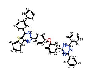 c1ccc(-c2cccc(-c3nc(-c4ccc(Oc5cccc(-c6nc(-c7ccccc7)nc(-c7ccccc7)n6)c5)cc4)nc4c3sc3ccccc34)c2)cc1